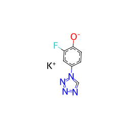 [K+].[O-]c1ccc(-n2cnnn2)cc1F